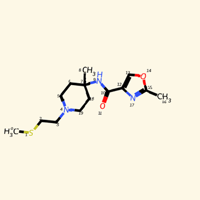 CSCCN1CCC(C)(NC(=O)c2coc(C)n2)CC1